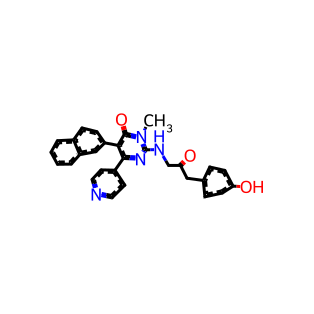 Cn1c(NCC(=O)Cc2ccc(O)cc2)nc(-c2ccncc2)c(-c2ccc3ccccc3c2)c1=O